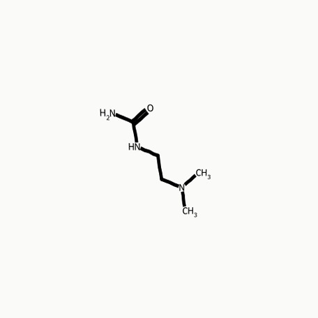 CN(C)CCNC(N)=O